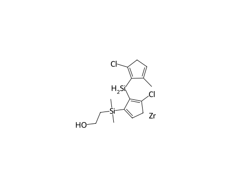 CC1=CCC(Cl)=C1[SiH2]C1=C(Cl)CC=C1[Si](C)(C)CCO.[Zr]